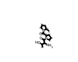 CC(O)C(N)C(=O)N1CCCC1C(=O)N1CCCC1C